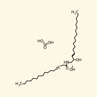 CCCCCCCCCCCCC/C=C/[C@@H](O)[C@H](CO)NC(=O)CCCCCCCCCCCCCCC.O=[Se](O)O